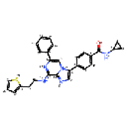 O=C(NC1CC1)c1ccc(-c2cnc3c(NCCc4cccs4)nc(-c4ccccc4)cn23)cc1